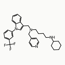 FC(F)(F)c1cccc(-n2cc(CN(CCCCNC3CCCCC3)Cc3ccncc3)c3ccccc32)c1